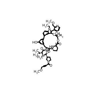 CCn1c(-c2cccnc2COC)c2c3cc(ccc31)-c1cc(O)cc(c1)C[C@H](NC(=O)[C@H](C(C)C)N(C)C(=O)[C@H]1CCN(C(=O)C#CCOC)C1)C(=O)N1CCC[C@H](N1)C(=O)OCC(C)(C)C2